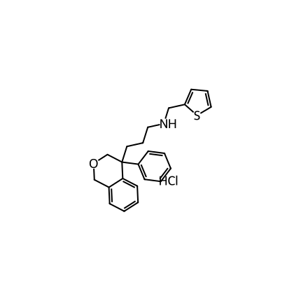 Cl.c1ccc(C2(CCCNCc3cccs3)COCc3ccccc32)cc1